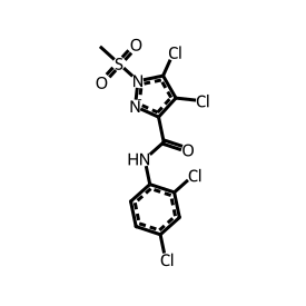 CS(=O)(=O)n1nc(C(=O)Nc2ccc(Cl)cc2Cl)c(Cl)c1Cl